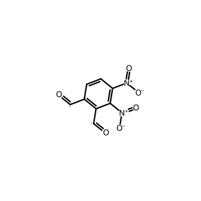 O=[C]c1ccc([N+](=O)[O-])c([N+](=O)[O-])c1[C]=O